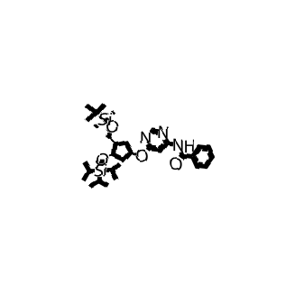 CC(C)[Si](O[C@H]1C[C@H](Oc2cc(NC(=O)c3ccccc3)ncn2)C[C@@H]1CO[Si](C)(C)C(C)(C)C)(C(C)C)C(C)C